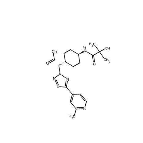 Cc1cc(-c2nnn(C[C@H]3CC[C@H](NC(=O)C(C)(C)O)CC3)n2)ccn1.O=CO